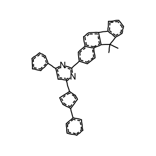 CC1(C)c2ccccc2-c2ccc3cc(-c4nc(-c5ccccc5)cc(-c5ccc(-c6ccccc6)cc5)n4)ccc3c21